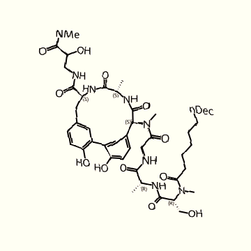 CCCCCCCCCCCCCCCC(=O)N(C)[C@H](CO)C(=O)N[C@H](C)C(=O)NCC(=O)N(C)[C@@H]1C(=O)N[C@@H](C)C(=O)N[C@H](C(=O)NCC(O)C(=O)NC)Cc2ccc(O)c(c2)-c2cc1ccc2O